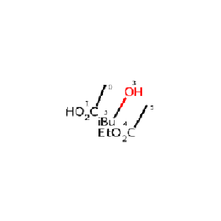 CC(=O)O.CCC(C)O.CCOC(C)=O